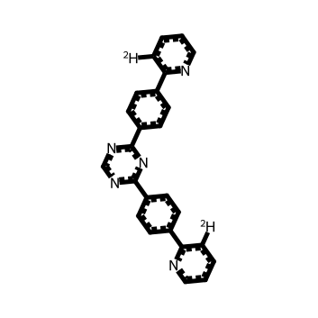 [2H]c1cccnc1-c1ccc(-c2ncnc(-c3ccc(-c4ncccc4[2H])cc3)n2)cc1